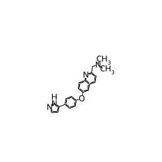 CN(C)Cc1ccc2cc(Oc3ccc(-c4ccn[nH]4)cc3)ccc2n1